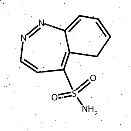 NS(=O)(=O)C1=C2CC=CC=C2N=NC=C1